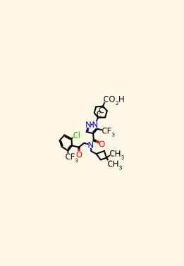 CC1(C)CC(CN(CC(=O)c2c(Cl)cccc2C(F)(F)F)C(=O)c2cnn(C34CCC(C(=O)O)(CC3)CC4)c2C(F)(F)F)C1